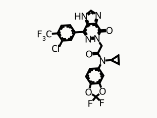 O=C(Cn1nc(-c2ccc(C(F)(F)F)c(Cl)c2)c2[nH]cnc2c1=O)N(c1ccc2c(c1)OC(F)(F)O2)C1CC1